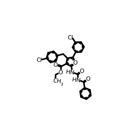 CCOC(=O)c1c(NC(=O)NC(=O)c2ccccc2)oc(-c2cccc(Cl)c2)c1Cc1ccc(Cl)cc1